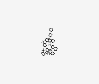 CC1(C)c2ccc(-c3ccc(Nc4ccccc4Nc4cccc5ccccc45)c4c3C(C)(C)c3ccccc3-4)cc2-c2c(Nc3ccccc3Nc3ccc(-c4ccccc4)cc3)cccc21